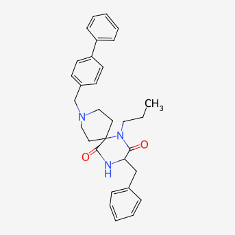 CCCN1C(=O)C(Cc2ccccc2)NC(=O)C12CCN(Cc1ccc(-c3ccccc3)cc1)CC2